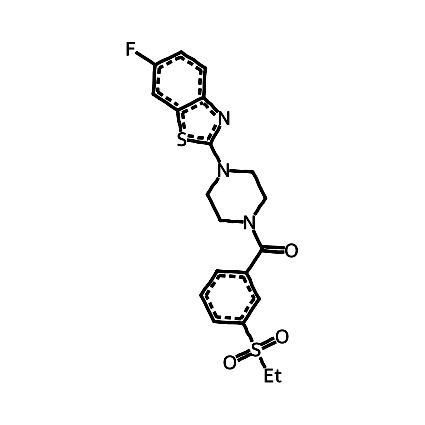 CCS(=O)(=O)c1cccc(C(=O)N2CCN(c3nc4ccc(F)cc4s3)CC2)c1